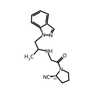 CC(Cn1ncc2ccccc21)NCC(=O)N1CCC[C@H]1C#N